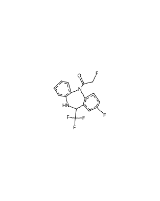 O=C(CF)N1c2ccccc2NC(C(F)(F)F)c2cc(F)ccc21